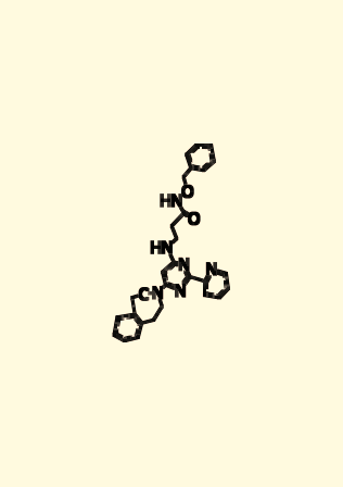 O=C(CCNc1cc(N2CCc3ccccc3CC2)nc(-c2ccccn2)n1)NOCc1ccccc1